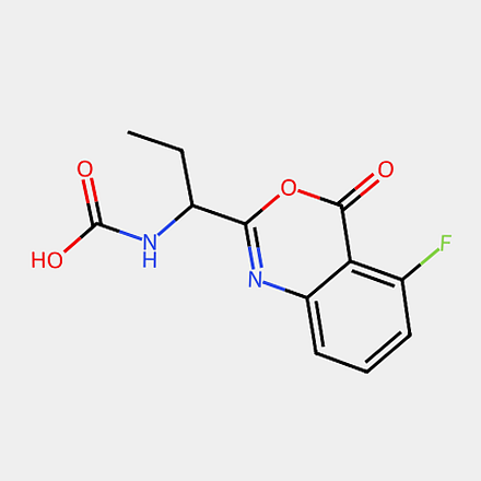 CCC(NC(=O)O)c1nc2cccc(F)c2c(=O)o1